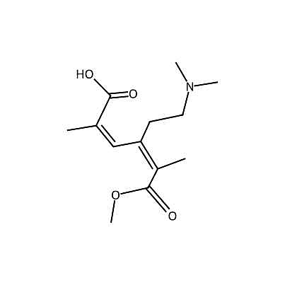 COC(=O)C(C)=C(C=C(C)C(=O)O)CCN(C)C